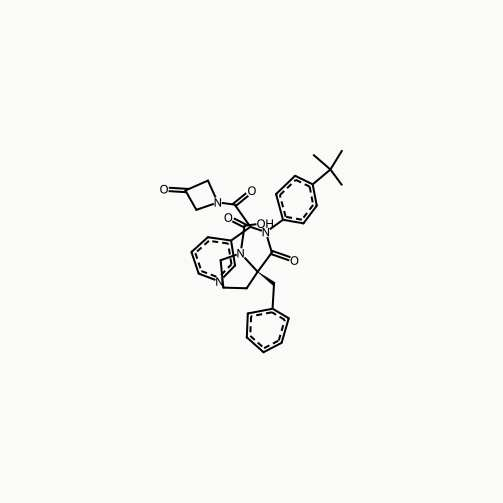 CC(C)(C)c1ccc(N(C(=O)[C@]2(Cc3ccccc3)CCCN2C(=O)O)C(C(=O)N2CC(=O)C2)c2cccnc2)cc1